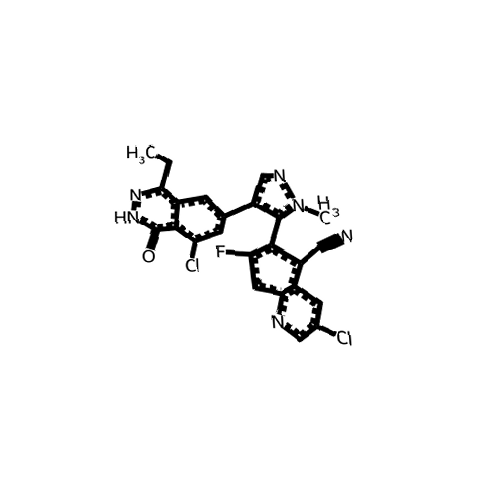 CCc1n[nH]c(=O)c2c(Cl)cc(-c3cnn(C)c3-c3c(F)cc4ncc(Cl)cc4c3C#N)cc12